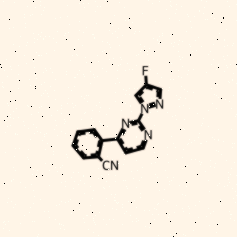 N#Cc1ccccc1-c1ccnc(-n2cc(F)cn2)n1